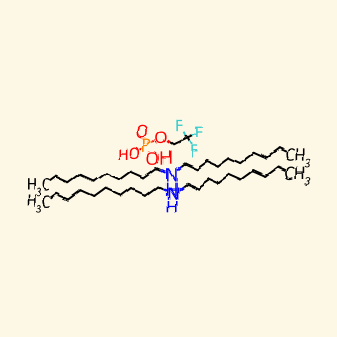 CCCCCCCCCCNCCCCCCCCCC.CCCCCCCCCCNCCCCCCCCCC.O=P(O)(O)OCC(F)(F)F